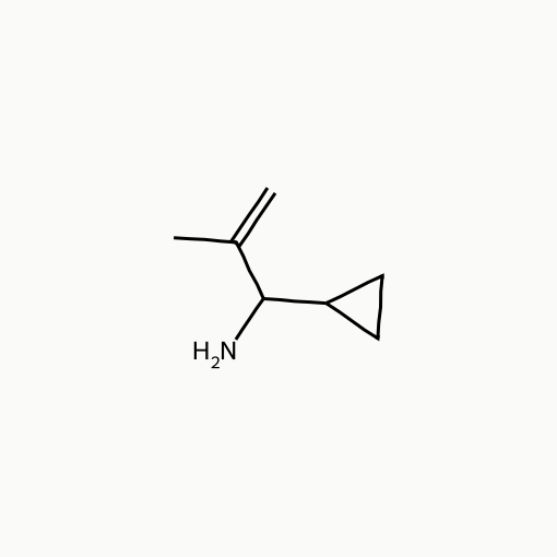 C=C(C)C(N)C1CC1